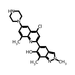 Cc1c(O)c(-c2cc(Cl)c3cc(N4CCNCC4)cc(C)c3n2)cc2cn(C)nc12